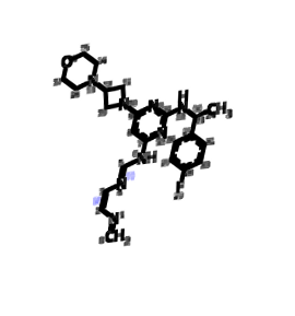 C=N/C=C\N=C\Nc1cc(N2CC(N3CCOCC3)C2)nc(N[C@@H](C)c2ccc(F)cc2)n1